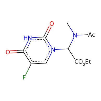 CCOC(=O)C(N(C)C(C)=O)n1cc(F)c(=O)[nH]c1=O